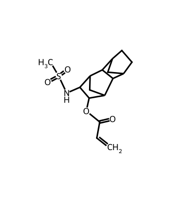 C=CC(=O)OC1C2CC(C1NS(C)(=O)=O)C1C3CCC(C3)C21